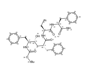 CC(C)C[C@H](NC(=O)[C@H](Cc1ccccc1)C[C@@H](O)[C@H](Cc1ccccc1)NC(=O)OC(C)(C)C)C(=O)N[C@@H](Cc1ccccc1)C(N)=O